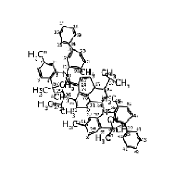 Cc1ccc(C(C)(C)C)c(N(c2cc(-c3ccccc3)ccc2C)c2cc(C(C)C)c3ccc4c(N(c5cc(-c6ccccc6)ccc5C)c5cc(C)ccc5C(C)(C)C)cc(C(C)C)c5ccc2c3c54)c1